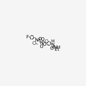 CCNC(=O)Nc1ccc2c(c1)CCC21OC(=O)N(CC(=O)N(Cc2ccc(F)cc2)C2CCCC2C)C1=O